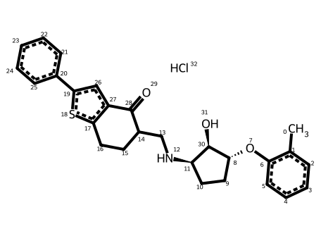 Cc1ccccc1O[C@@H]1CC[C@@H](NCC2CCc3sc(-c4ccccc4)cc3C2=O)[C@H]1O.Cl